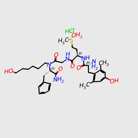 CSCC[C@@H](NC(=O)[C@H](N)Cc1c(C)cc(O)cc1C)C(=O)NCC(=O)N(CCCCCCO)[C@@H](Cc1ccccc1)C(N)=O.Cl.O